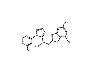 CC(C)c1cc(Cl)c2oc(N[C@@H](C)c3ncnn3-c3cc(C#N)ccn3)nc2c1